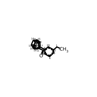 CCc1cccc([C]23[CH]4[CH]5[CH]6[CH]2[Fe]56432789[CH]3[CH]2[CH]7[C]8(C=O)[CH]39)c1